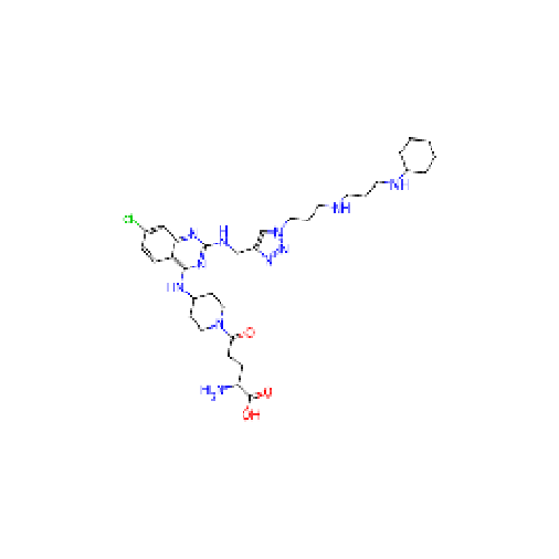 N[C@@H](CCC(=O)N1CCC(Nc2nc(NCc3cn(CCCNCCCNC4CCCCC4)nn3)nc3cc(Cl)ccc23)CC1)C(=O)O